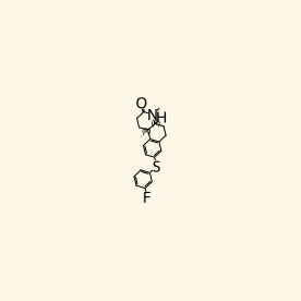 CN1C(=O)CC[C@]2(C)c3ccc(Sc4cccc(F)c4)cc3CC[C@@H]12